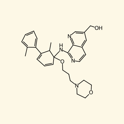 Cc1ccccc1C1=CC=CC(Nc2nccc3cc(CO)cnc23)(OCCCN2CCOCC2)C1C